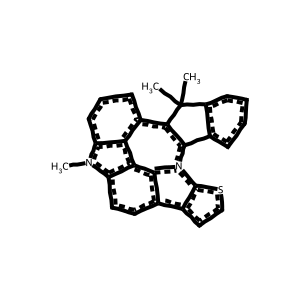 Cn1c2cccc3c4c(n5c6sccc6c6ccc1c(c32)c65)-c1ccccc1C4(C)C